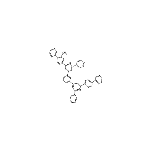 CC1C=C(c2cc(-c3cccc(-c4cc(-c5ccccc5)nc(-c5ccc(-c6ccccc6)cc5)c4)c3)cc(-c3ccccc3)n2)C=CC1c1ccccc1